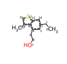 CCc1cc(CCO)c2c(C)csc2c1